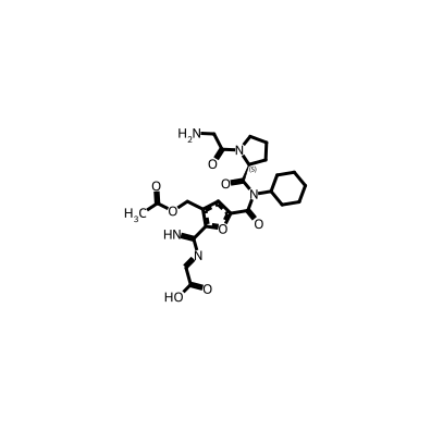 CC(=O)OCc1cc(C(=O)N(C(=O)[C@@H]2CCCN2C(=O)CN)C2CCCCC2)oc1C(=N)N=CC(=O)O